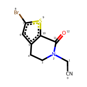 N#CCN1CCc2cc(Br)sc2C1=O